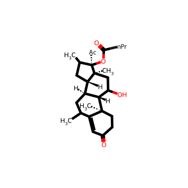 CCCC(=O)O[C@]1(C(C)=O)C(C)C[C@H]2[C@@H]3CC(C)C4=CC(=O)CC[C@]4(C)[C@H]3C(O)C[C@@]21C